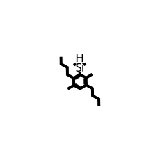 CCCCc1cc(C)c(CCCC)c([SiH](C)C)c1C